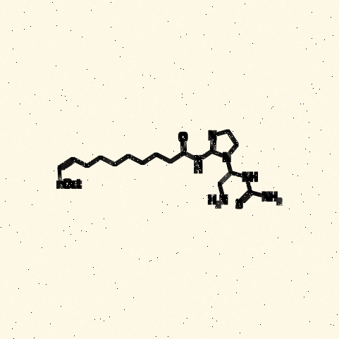 CCCCCCCC/C=C\CCCCCCCC(=O)NC1=NCCN1C(CN)NC(N)=S